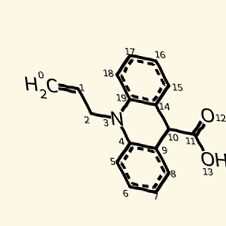 C=CCN1c2ccccc2C(C(=O)O)c2ccccc21